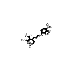 COC(=O)C1=C(C)O[PH](=O)CCC1CCCNc1ccc([N+](=O)[O-])c2nonc12